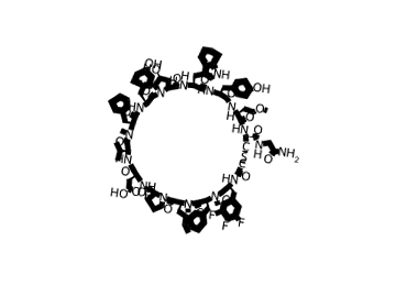 CCCC[C@H]1C(=O)N2CCC[C@@H]2C(=O)N[C@@H](CC(=O)O)C(=O)N[C@@H](C(C)C)C(=O)N(C)[C@@H](Cc2ccccc2)C(=O)N[C@@H](Cc2ccc(O)cc2)C(=O)N2C[C@H](O)C[C@@H]2C(=O)N[C@@H](Cc2c[nH]c3ccccc23)C(=O)N[C@@H](Cc2ccc(O)cc2)C(=O)N[C@@H](CCOC)C(=O)N[C@H](C(=O)NCC(N)=O)CSCC(=O)N[C@@H](Cc2cc(F)c(F)c(F)c2)C(=O)N(C)[C@@H](Cc2ccccc2)C(=O)N1C